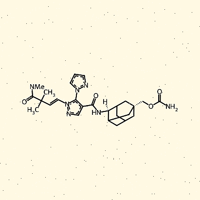 CNC(=O)C(C)(C)/C=C/n1ncc(C(=O)N[C@H]2C3CC4CC2C[C@](COC(N)=O)(C4)C3)c1-n1cccn1